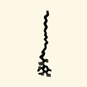 CCCCCCCCC=CCCCCCCCC(=O)Nc1cc(C)c(O)c(OC)c1OC